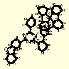 c1ccc(-c2nc(-c3ccc4oc5ccccc5c4c3)nc(-c3ccccc3-c3cccc(-c4cccc5c4C4(c6ccccc6-c6ccccc64)c4ccccc4-5)c3)n2)cc1